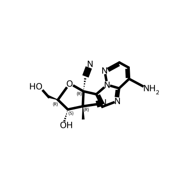 C[C@@]1(C#N)[C@H](O)[C@@H](CO)O[C@@]1(C#N)c1cnc2c(N)ccnn12